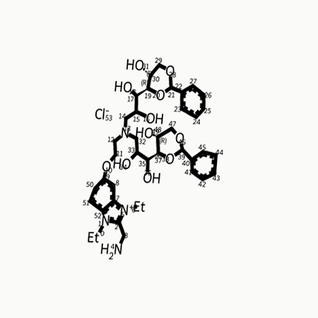 CCn1c(CN)[n+](CC)c2cc(OCCN(CC(O)C(O)[C@@H]3OC(c4ccccc4)OC[C@H]3O)CC(O)C(O)[C@@H]3OC(c4ccccc4)OC[C@H]3O)ccc21.[Cl-]